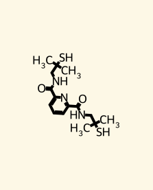 CC(C)(S)CNC(=O)c1cccc(C(=O)NCC(C)(C)S)n1